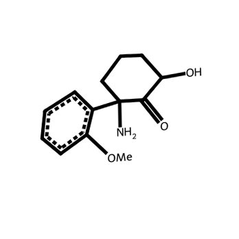 COc1ccccc1C1(N)CCCC(O)C1=O